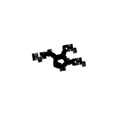 Cc1c(SN)cnn1C